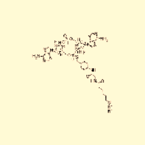 [N-]=[N+]=NCCCCCC(=O)NCC(=O)Nc1ccc(CS[P@@]2(=O)OC[C@H]3O[C@@H](n4cnc5c(N)ncnc54)[C@H](F)[C@@H]3O[PH](=O)OC[C@H]3O[C@@H](n4cnc5c(N)ncnc54)[C@H](F)[C@@H]3O2)cc1